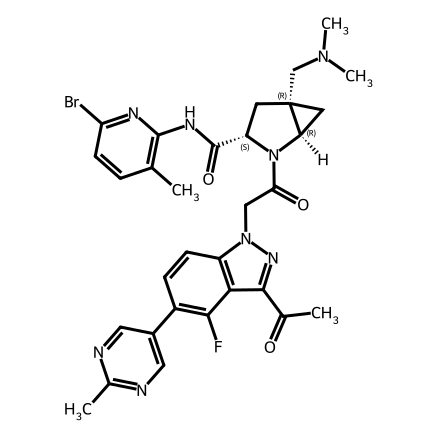 CC(=O)c1nn(CC(=O)N2[C@H](C(=O)Nc3nc(Br)ccc3C)C[C@@]3(CN(C)C)C[C@@H]23)c2ccc(-c3cnc(C)nc3)c(F)c12